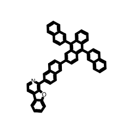 c1ccc2cc(-c3c4ccccc4c(-c4ccc5ccccc5c4)c4cc(-c5ccc6cc(-c7nccc8c7oc7ccccc78)ccc6c5)ccc34)ccc2c1